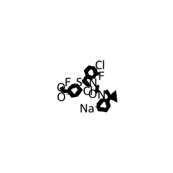 O=C([O-])c1cccc(Sc2c(Cl)n(CC(=O)N3CC4(CC4)c4ccccc43)c3c(F)c(Cl)ccc23)c1F.[Na+]